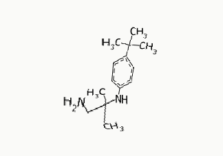 CC(C)(CN)Nc1ccc(C(C)(C)C)cc1